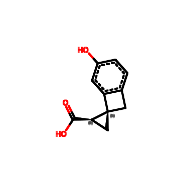 O=C(O)[C@@H]1C[C@@]12Cc1ccc(O)cc12